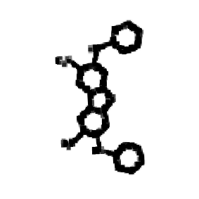 O=[N+]([O-])c1cc2c(cc1Nc1ccccc1)sc1cc(Nc3ccccc3)c([N+](=O)[O-])cc12